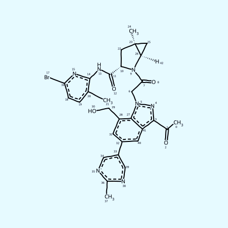 CC(=O)c1nn(CC(=O)N2[C@H](C(=O)Nc3nc(Br)ccc3C)C[C@@]3(C)C[C@@H]23)c2c(CO)cc(-c3cnc(C)nc3)cc12